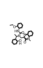 CCOc1ccccc1NC(=O)N(Cc1nc2ccccc2n(C)c1=O)C(C)c1ccccc1O